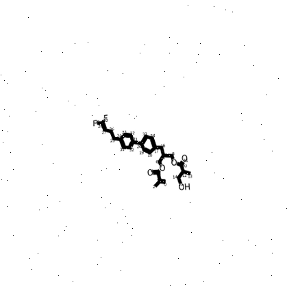 C=C(C)C(=O)OCC(COC(=O)C(C)CO)Cc1ccc(-c2ccc(CCC=C(F)F)cc2)cc1